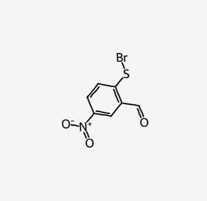 O=Cc1cc([N+](=O)[O-])ccc1SBr